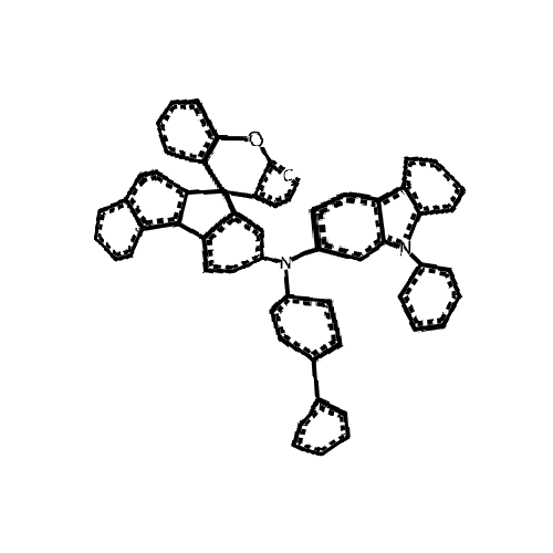 c1ccc(-c2ccc(N(c3ccc4c(c3)C3(c5ccccc5Oc5ccccc53)c3ccc5ccccc5c3-4)c3ccc4c5ccccc5n(-c5ccccc5)c4c3)cc2)cc1